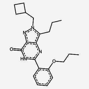 CCCOc1ccccc1-c1nc2c(CCC)n(CC3CCC3)nc2c(=O)[nH]1